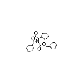 O=C1O[C@H](c2ccccc2)N(C(=O)OCc2ccccc2)[C@@H]1c1ccccc1